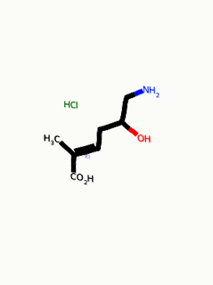 C/C(=C\CC(O)CN)C(=O)O.Cl